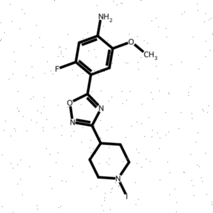 COc1cc(-c2nc(C3CCN(I)CC3)no2)c(F)cc1N